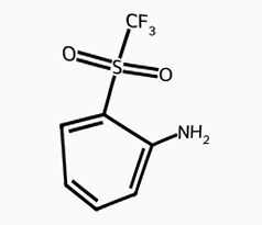 Nc1ccccc1S(=O)(=O)C(F)(F)F